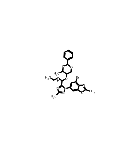 Cc1nc(C(OC2COC(c3ccccc3)OC2C)PCN)n(-c2cc(Br)c3nc(C)sc3c2)n1